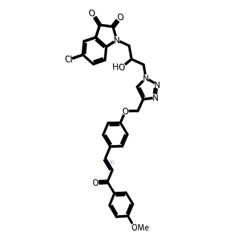 COc1ccc(C(=O)/C=C/c2ccc(OCc3cn(CC(O)CN4C(=O)C(=O)c5cc(Cl)ccc54)nn3)cc2)cc1